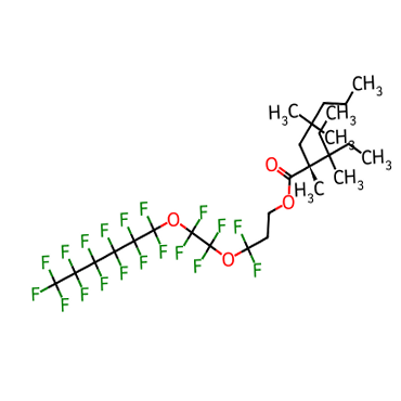 CCCC(C)(C)C[C@@](C)(C(=O)OCCC(F)(F)OC(F)(F)C(F)(F)OC(F)(F)C(F)(F)C(F)(F)C(F)(F)C(F)(F)C(F)(F)F)C(C)(CC)CC